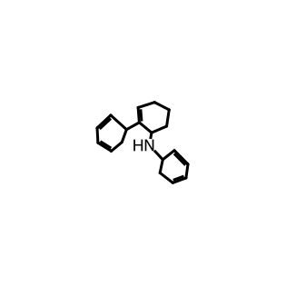 C1=CCC(NC2CCCC=C2C2C=CC=CC2)C=C1